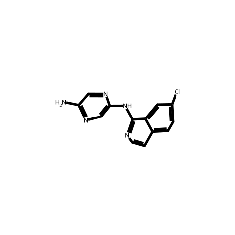 Nc1cnc(Nc2nccc3ccc(Cl)cc23)cn1